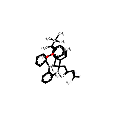 C=CC1C(N(C)/C=C(\C)[Si](C)(C)C)C(C)C1(CC(=C)/C=C(\C)F)N(C)c1ccccc1Nc1ccccc1-c1ccccc1